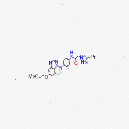 COCCOc1cc(F)c2c(Nc3ccc(NC(=O)Cn4cc(C(C)C)nn4)cc3)ncnc2c1